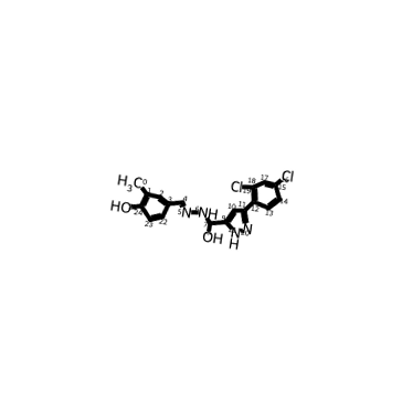 Cc1cc(/C=N/NC(O)c2cc(-c3ccc(Cl)cc3Cl)n[nH]2)ccc1O